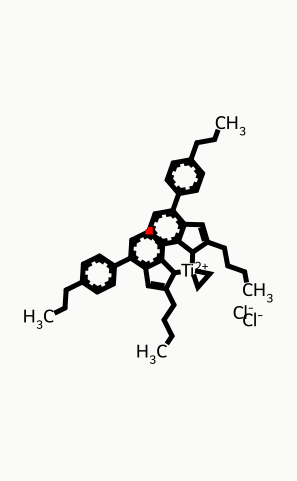 CCCCC1=Cc2c(-c3ccc(CCC)cc3)cccc2[CH]1[Ti+2]1([CH]2C(CCCC)=Cc3c(-c4ccc(CCC)cc4)cccc32)[CH2][CH2]1.[Cl-].[Cl-]